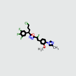 COc1cc(/C=C(\F)c2nnc(C(CCCCl)c3cc(F)c(F)c(F)c3)o2)ccc1-n1cnc(C)c1